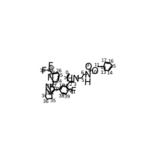 C=C/C(=C\NCCNC(=O)OCc1ccccc1)c1cc(-c2c(-c3cccc(C(F)F)n3)nn3c2CCC3)ccc1F